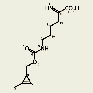 CC1=CC1COC(=O)NCCCCC(=N)C(=O)O